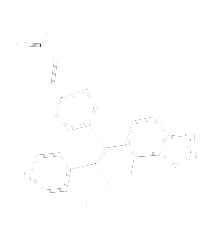 CCC(=C(c1ccc(C=CC(=O)O)cc1)c1ccc2[nH]ncc2c1F)c1ccncc1Cl